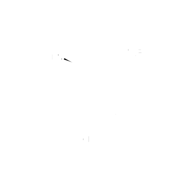 CCOC(=O)[C@@H]1Cc2c(ccc(Cl)c2Cl)[C@@H](N)C1